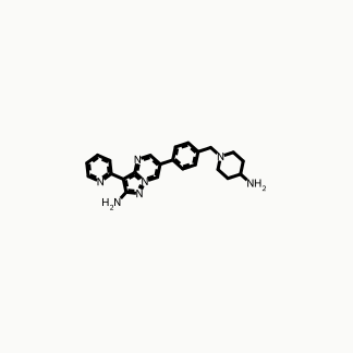 Nc1nn2cc(-c3ccc(CN4CCC(N)CC4)cc3)cnc2c1-c1ccccn1